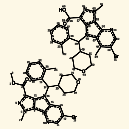 COC(=O)c1nn(C)c2c3ncc(Br)cc3n(C(c3ccccc3C)C3CCOCC3)c12.Cc1ccccc1C(C1CCOCC1)n1c2c(C)c(Br)cnc2c2c1c(C(=O)O)nn2C